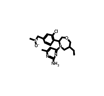 CCC1COCC(c2ccc(C[S+](C)[O-])cc2Cl)N(c2cc(C)nc(N)n2)C1